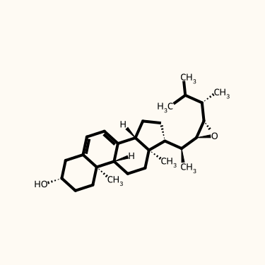 CC(C)[C@H](C)[C@@H]1O[C@H]1[C@@H](C)[C@H]1CC[C@H]2C3=CC=C4C[C@@H](O)CC[C@]4(C)[C@H]3CC[C@]12C